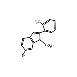 O=C(O)n1c(-c2ccccc2C(F)(F)F)cc2ccc(Br)cc21